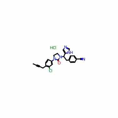 CC#CCc1ccc(N2CCN(C(Cc3ccc(C#N)cc3)c3cnc[nH]3)C2=O)cc1Cl.Cl